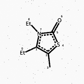 CCc1c(C)sc(=O)n1CC